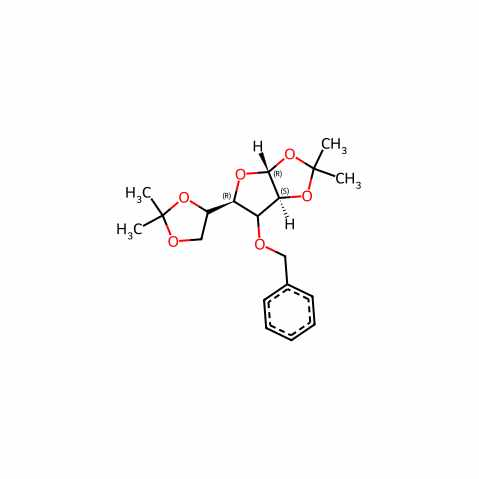 CC1(C)OCC([C@H]2O[C@@H]3OC(C)(C)O[C@H]3C2OCc2ccccc2)O1